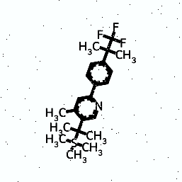 Cc1cc(-c2ccc(C(C)(C)C(F)(F)F)cc2)ncc1C(C)(C)S(C)(C)C